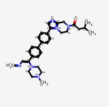 C=N/C=C(/c1ccc(-c2ccc(-c3cnc4n3CCN(C(=O)CC(C)C)C4)cc2)cc1)N1CCN(C)CC1